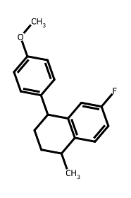 COc1ccc(C2CCC(C)c3ccc(F)cc32)cc1